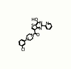 O=C(c1csc2c(O)nc(-c3ccccn3)nc12)N1CCN(c2cccc(Cl)c2)CC1